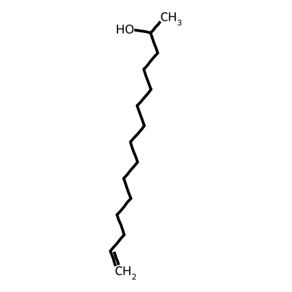 C=CCCCCCCCCCCCC(C)O